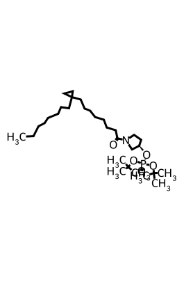 CCCCCCCCC1(CCCCCCCC(=O)N2CC[C@@H](OP(=O)(OC(C)(C)C)OC(C)(C)C)C2)CC1